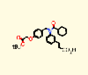 CC(C)(C)OC(=O)COc1ccc(CN(C(=O)C2CCCCC2)c2cccc(C=CC(=O)O)c2)cc1